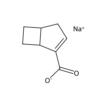 O=C([O-])C1=CCC2CCC12.[Na+]